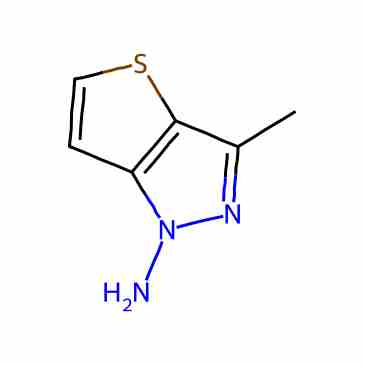 Cc1nn(N)c2ccsc12